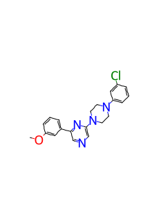 COc1cccc(-c2cncc(N3CCN(c4cccc(Cl)c4)CC3)n2)c1